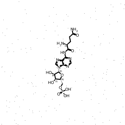 NC(=O)CC[C@H](N)C(=O)Nc1ncnc2c1ncn2[C@@H]1O[C@H](COP(=O)(O)O)[C@@H](O)[C@H]1O